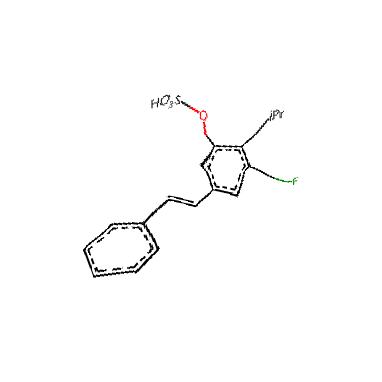 CC(C)c1c(F)cc(/C=C/c2ccccc2)cc1OS(=O)(=O)O